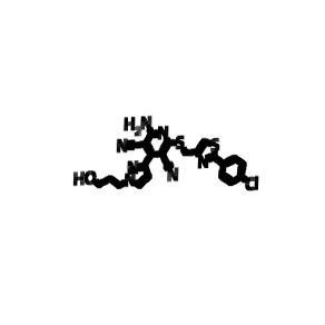 N#Cc1c(N)nc(SCc2csc(-c3ccc(Cl)cc3)n2)c(C#N)c1-c1ccn(CCCO)n1